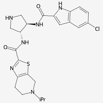 CC(C)N1CCc2nc(C(=O)N[C@@H]3CNC[C@H]3NC(=O)c3cc4cc(Cl)ccc4[nH]3)sc2C1